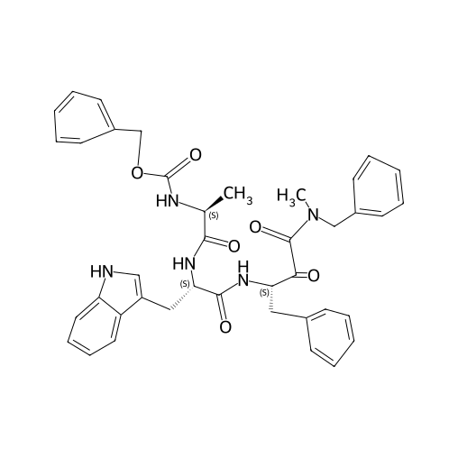 C[C@H](NC(=O)OCc1ccccc1)C(=O)N[C@@H](Cc1c[nH]c2ccccc12)C(=O)N[C@@H](Cc1ccccc1)C(=O)C(=O)N(C)Cc1ccccc1